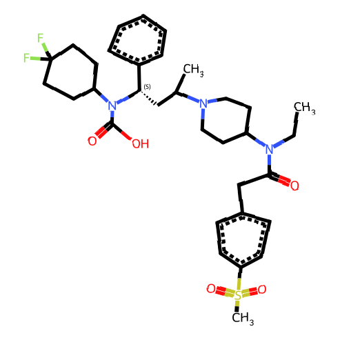 CCN(C(=O)Cc1ccc(S(C)(=O)=O)cc1)C1CCN(C(C)C[C@@H](c2ccccc2)N(C(=O)O)C2CCC(F)(F)CC2)CC1